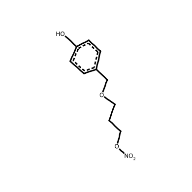 O=[N+]([O-])OCCCOCc1ccc(O)cc1